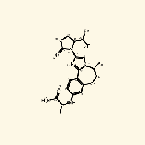 C[C@H](Nc1ccc2c(c1)OC[C@H](C)n1cc(N3C(=O)OCC3C(F)F)nc1-2)C(N)=O